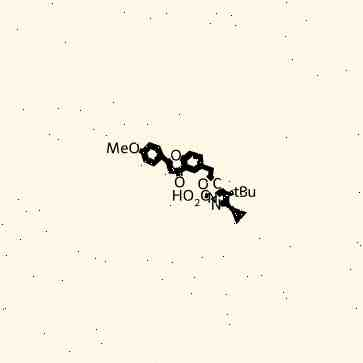 COc1ccc(-c2cc(=O)c3cc(CC(=O)Cc4c(C(C)(C)C)c(C5CC5)nn4C(=O)O)ccc3o2)cc1